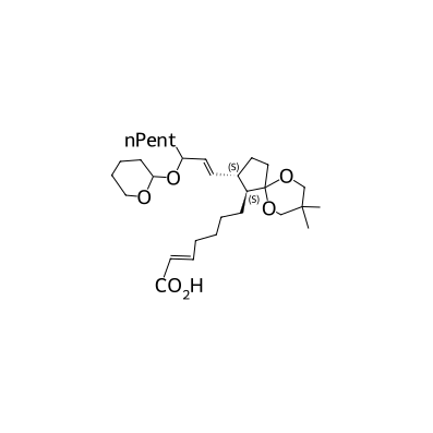 CCCCCC(C=C[C@@H]1CCC2(OCC(C)(C)CO2)[C@H]1CCCCC=CC(=O)O)OC1CCCCO1